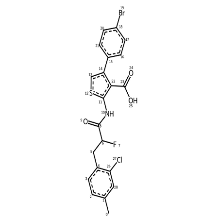 Cc1ccc(CC(F)C(=O)Nc2scc(-c3ccc(Br)cc3)c2C(=O)O)c(Cl)c1